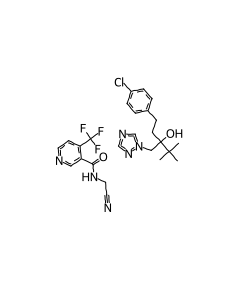 CC(C)(C)C(O)(CCc1ccc(Cl)cc1)Cn1cncn1.N#CCNC(=O)c1cnccc1C(F)(F)F